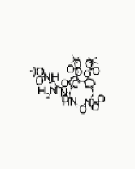 COC(=O)[C@@H]1Cc2ccc(OC(=O)OC(C)(C)C)c(c2)-c2cc(ccc2OC(=O)OC(C)(C)C)[C@H](N(C)C(=O)[C@@H](N)CCNC(=O)OC(C)(C)C)C(=O)N[C@@H](C)C(=O)N1